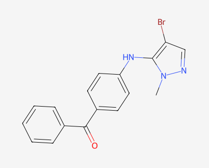 Cn1ncc(Br)c1Nc1ccc(C(=O)c2ccccc2)cc1